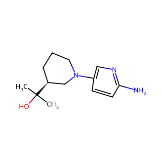 CC(C)(O)[C@H]1CCCN(c2ccc(N)nc2)C1